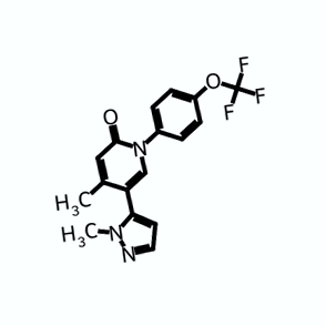 Cc1cc(=O)n(-c2ccc(OC(F)(F)F)cc2)cc1-c1ccnn1C